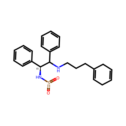 O=[SH](=O)N[C@@H](c1ccccc1)C(NCCCC1=CCC=CC1)c1ccccc1